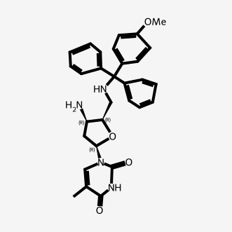 COc1ccc(C(NC[C@H]2O[C@@H](n3cc(C)c(=O)[nH]c3=O)C[C@H]2N)(c2ccccc2)c2ccccc2)cc1